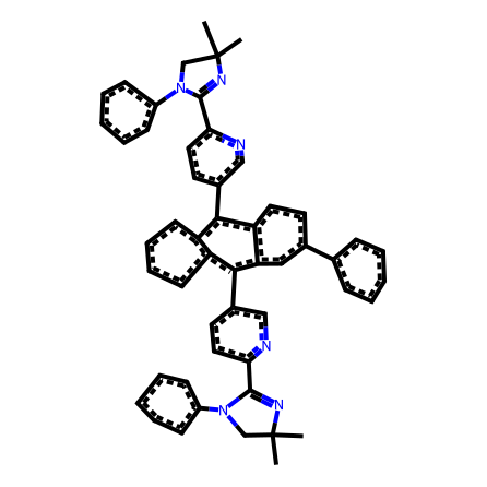 CC1(C)CN(c2ccccc2)C(c2ccc(-c3c4ccccc4c(-c4ccc(C5=NC(C)(C)CN5c5ccccc5)nc4)c4cc(-c5ccccc5)ccc34)cn2)=N1